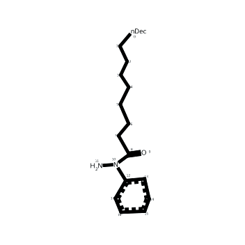 CCCCCCCCCCCCCCCCCC(=O)N(N)c1ccccc1